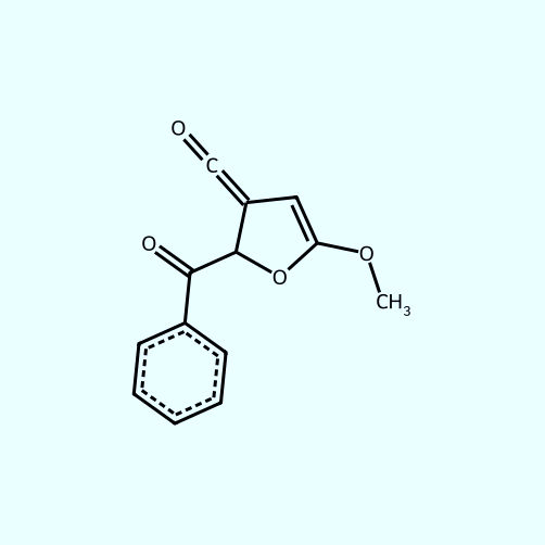 COC1=CC(=C=O)C(C(=O)c2ccccc2)O1